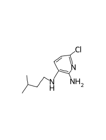 CC(C)CCNc1ccc(Cl)nc1N